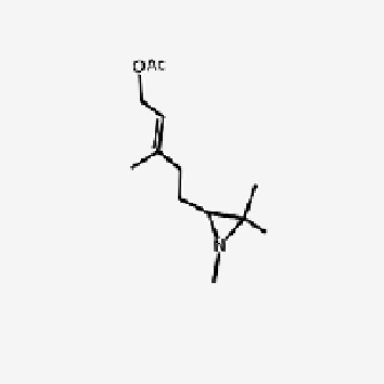 CC(=O)OC/C=C(\C)CCC1N(C)C1(C)C